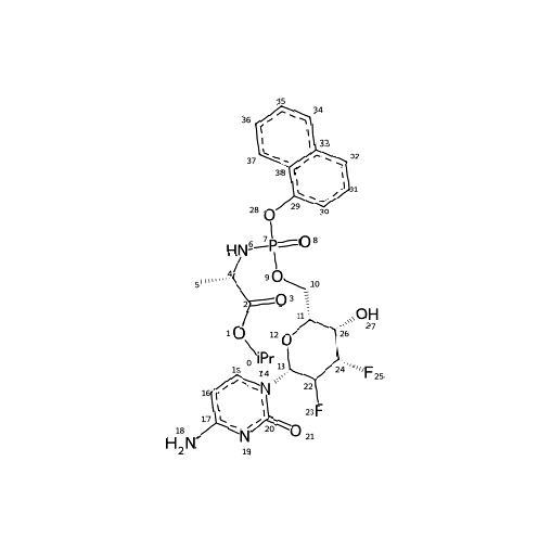 CC(C)OC(=O)[C@H](C)NP(=O)(OC[C@H]1O[C@@H](n2ccc(N)nc2=O)C(F)[C@@H](F)[C@H]1O)Oc1cccc2ccccc12